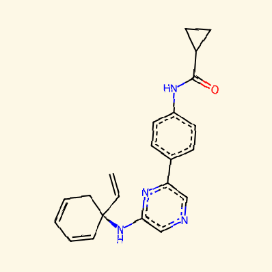 C=C[C@]1(Nc2cncc(-c3ccc(NC(=O)C4CC4)cc3)n2)C=CC=CC1